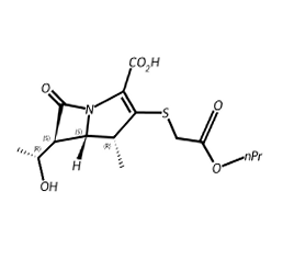 CCCOC(=O)CSC1=C(C(=O)O)N2C(=O)[C@H]([C@@H](C)O)[C@H]2[C@H]1C